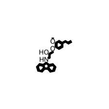 C=CCc1ccc(OCC(O)CNC2c3ccccc3-c3ccccc32)c(OC)c1